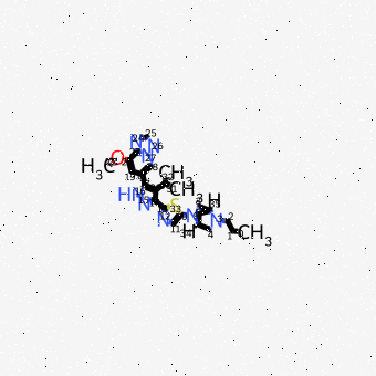 CCCN1C[C@H]2C[C@@H]1CN2c1cnc(-c2n[nH]c(-c3cc(OC)c4ncnn4c3)c2C(C)C)s1